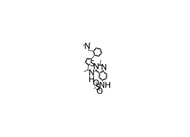 Cc1nc(NC(C)c2ccc(-c3ccccc3CN(C)C)s2)c2cc(NS(C)(=O)=O)ccc2n1